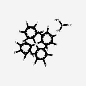 CCCN(CCC)CCC.Fc1c(F)c(F)c([B-](c2c(F)c(F)c(F)c(F)c2F)(c2c(F)c(F)c(F)c(F)c2F)c2c(F)c(F)c(F)c(F)c2F)c(F)c1F